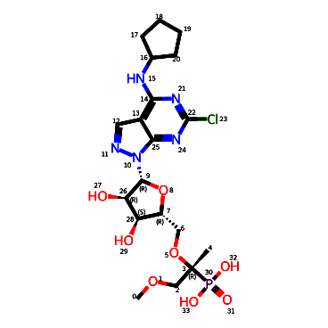 COC[C@](C)(OC[C@H]1O[C@@H](n2ncc3c(NC4CCCC4)nc(Cl)nc32)[C@H](O)[C@@H]1O)P(=O)(O)O